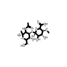 [2H][C@@]1(O[C@@H]2C(NC(C)=O)[C@]([2H])(C)OC(CO)[C@H]2O)OC(C(=O)O)[C@@H](OC)[C@H](O)C1O